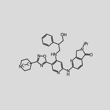 CC(C)N1Cc2nc(Nc3cc(NCC(CO)c4ccccc4)c(-c4nc(C56CCN(CC5)CC6)no4)cn3)ccc2C1=O